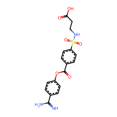 N=C(N)c1ccc(OC(=O)c2ccc(S(=O)(=O)NCCC(=O)O)cc2)cc1